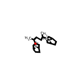 CC(CCC(C)N1CC2CCC(C1)N2C)C1CC2CCC(C1)N2C(C)C